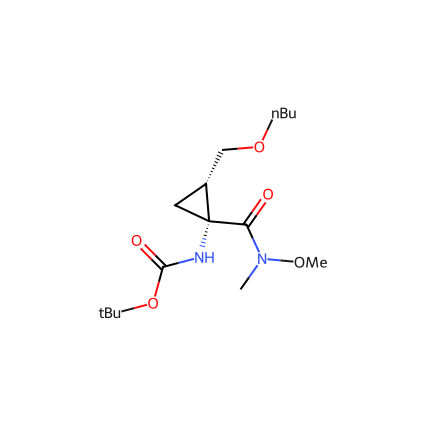 CCCCOC[C@H]1C[C@]1(NC(=O)OC(C)(C)C)C(=O)N(C)OC